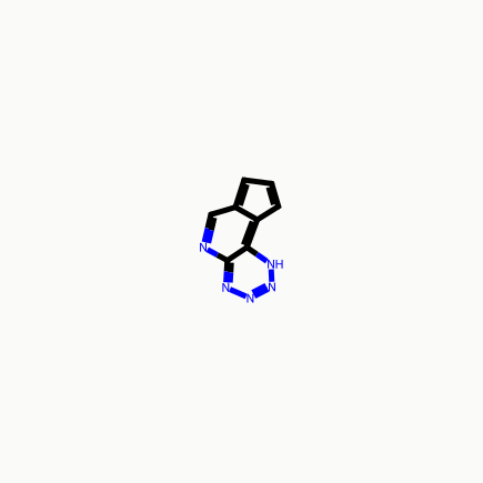 c1cc2cnc3nnn[nH]c3c2c1